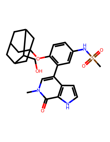 Cn1cc(-c2cc(NS(C)(=O)=O)ccc2OC23CC4CC(C2)C(CO)C(C4)C3)c2cc[nH]c2c1=O